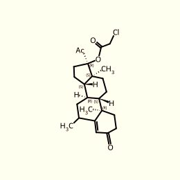 CC(=O)[C@@]1(OC(=O)CCl)CC[C@H]2[C@@H]3CC(C)C4=CC(=O)CC[C@]4(C)[C@H]3CC[C@@]21C